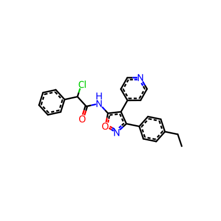 CCc1ccc(-c2noc(NC(=O)C(Cl)c3ccccc3)c2-c2ccncc2)cc1